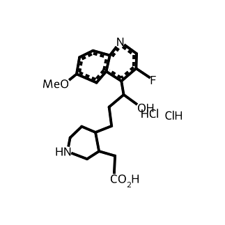 COc1ccc2ncc(F)c(C(O)CCC3CCNCC3CC(=O)O)c2c1.Cl.Cl